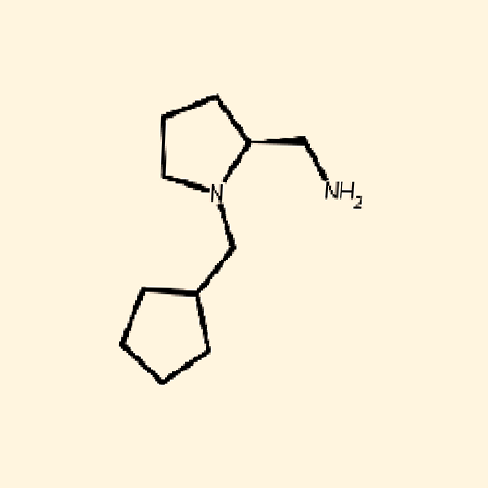 NC[C@@H]1CCCN1CC1CCCC1